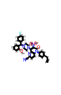 C#CCc1ccc(-n2c(=O)c([N+](=O)[O-])c(N3CCN(C(c4ccc(F)cc4)c4ccccc4OC)CC3)c3nc(C#N)ccc32)cc1